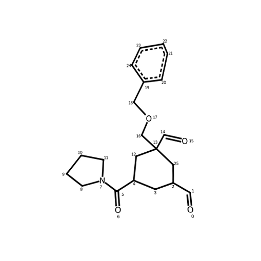 O=CC1CC(C(=O)N2CCCC2)CC(C=O)(COCc2ccccc2)C1